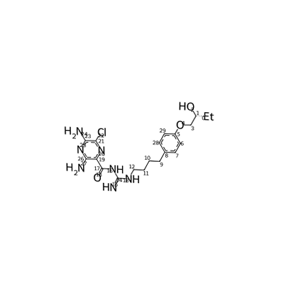 CC[C@@H](O)COc1ccc(CCCCNC(=N)NC(=O)c2nc(Cl)c(N)nc2N)cc1